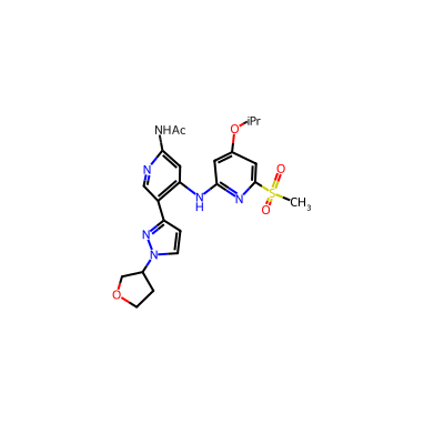 CC(=O)Nc1cc(Nc2cc(OC(C)C)cc(S(C)(=O)=O)n2)c(-c2ccn(C3CCOC3)n2)cn1